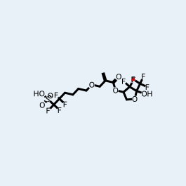 C=C(COCCCCC(F)(F)C(F)(F)S(=O)(=O)O)C(=O)OC1COC(O)(C(F)(F)F)C1(F)F